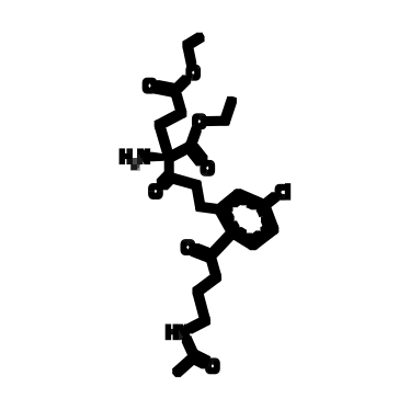 CCOC(=O)CC[C@@](N)(C(=O)CCc1cc(Cl)ccc1C(=O)CCCNC(C)=O)C(=O)OCC